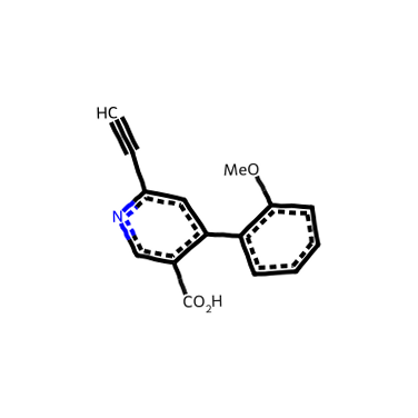 C#Cc1cc(-c2ccccc2OC)c(C(=O)O)cn1